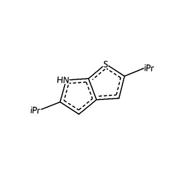 CC(C)c1cc2cc(C(C)C)sc2[nH]1